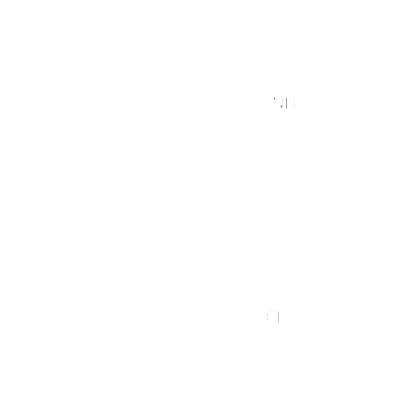 C=CCC1CC2CCC=C3C=CNCC1=C32